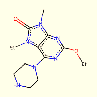 CCOc1nc(N2CCNCC2)c2c(n1)n(C)c(=O)n2CC